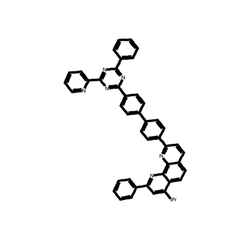 CC(C)c1cc(-c2ccccc2)nc2c1ccc1ccc(-c3ccc(-c4ccc(-c5nc(-c6ccccc6)nc(-c6ccccn6)n5)cc4)cc3)nc12